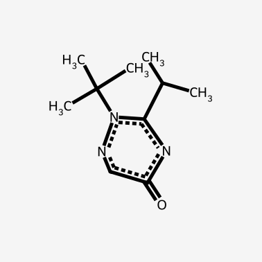 CC(C)c1nc(=O)cnn1C(C)(C)C